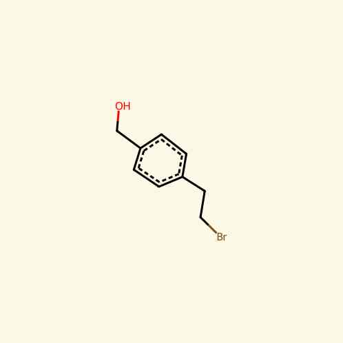 OCc1ccc(CCBr)cc1